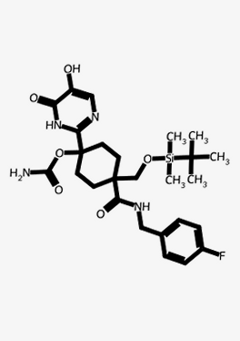 CC(C)(C)[Si](C)(C)OCC1(C(=O)NCc2ccc(F)cc2)CCC(OC(N)=O)(c2ncc(O)c(=O)[nH]2)CC1